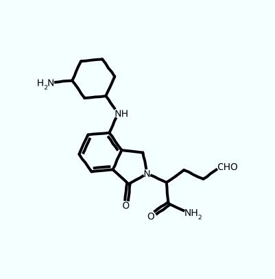 NC(=O)C(CCC=O)N1Cc2c(NC3CCCC(N)C3)cccc2C1=O